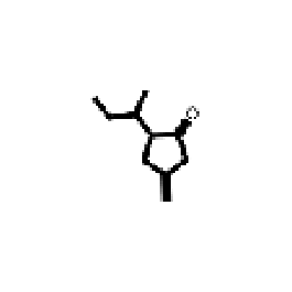 C=C1CC(=O)C(C(C)CC)C1